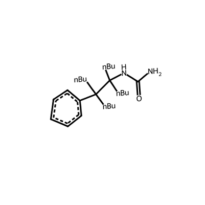 CCCCC(CCCC)(NC(N)=O)C(CCCC)(CCCC)c1ccccc1